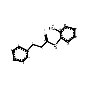 O=C(CCc1ccccc1)Oc1ccccc1O